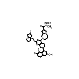 CCCCCCCCCCN(C)C(=O)c1cc2n(n1)CCCN(c1nc(OC[C@@]34CCCN3C[C@H](F)C4)nc3c1CCN(c1cc(O)cc4ccc(F)c(CC)c14)C3)C2